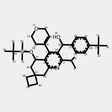 CC(C)c1nc2c(c(C3=CCOCC3)c1C(O)c1ccc(C(C)(C)C)cc1)C(O[Si](C)(C)C(C)(C)C)CC1(CCC1)C2